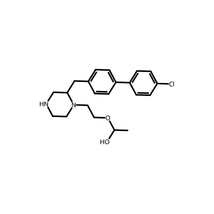 CC(O)OCCN1CCNCC1Cc1ccc(-c2ccc(Cl)cc2)cc1